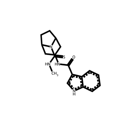 CNC(=S)N1C2CCC1CC(NC(=O)c1c[nH]c3ccccc13)C2